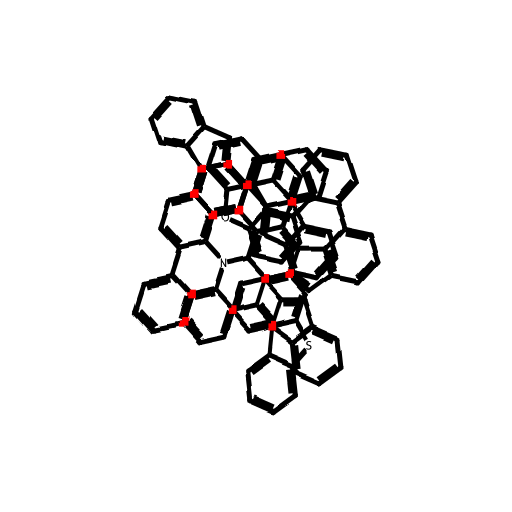 C1=CC2(C3=Cc4ccccc4C3=C1)C1=Cc3ccccc3C1=CC=C2C1=C(N(c2ccccc2-c2ccccc2)c2ccccc2-c2cccc3sc4ccccc4c23)C2(C=CC=C3C2=Cc2ccccc23)C2=Cc3cccc(-c4ccccc4-c4cccc5oc6ccccc6c45)c3C2=C1c1ccccc1-c1ccccc1